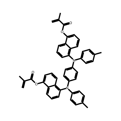 C=C(C)C(=O)Oc1cccc2c(N(c3ccc(C)cc3)c3ccc(N(c4ccc(C)cc4)c4cccc5c(OC(=O)C(=C)C)cccc45)cc3)cccc12